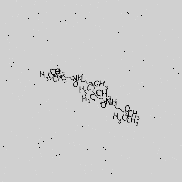 CC(C)(CCCCCC(=O)NCCCCCC(=O)C(C)(C)C)CCC(C)(C)CCC(=O)NCCCCCC(=O)C(C)(C)C